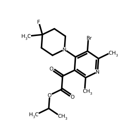 Cc1nc(C)c(C(=O)C(=O)OC(C)C)c(N2CCC(C)(F)CC2)c1Br